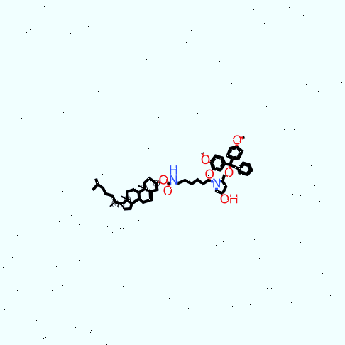 COc1ccc(C(OCC2CC(O)CN2C(=O)CCCCCNC(=O)O[C@@H]2CC[C@]3(C)C(=CCC4C3CC[C@]3(C)C4CC[C@H]3[C@@H](C)CCCC(C)C)C2)(c2ccccc2)c2ccc(OC)cc2)cc1